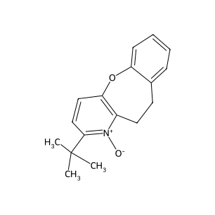 CC(C)(C)c1ccc2c([n+]1[O-])CCc1ccccc1O2